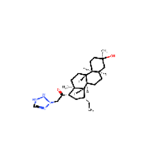 CC[C@@H]1C[C@H](C(=O)CN2N=CNN2)[C@@]2(C)CC[C@H]3[C@@H](CC[C@@H]4C[C@](C)(O)CC[C@@H]43)[C@H]12